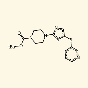 CC(C)(C)OC(=O)N1CCN(c2ncc(Sc3cccnc3)s2)CC1